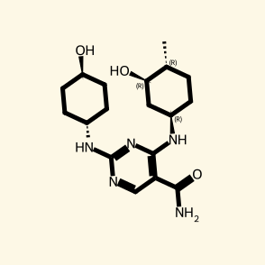 C[C@@H]1CC[C@@H](Nc2nc(N[C@H]3CC[C@H](O)CC3)ncc2C(N)=O)C[C@H]1O